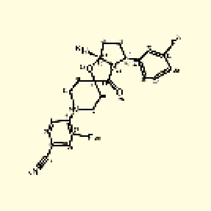 N#Cc1ccc(N2CCC3(CC2)O[C@@H]2CC[C@@H](c4cccc(F)c4)N2C3=O)c(F)c1